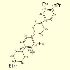 CCCc1ccc(C2CCC(c3ccc(C4CCC(CC)CC4)c(F)c3F)CC2)cc1F